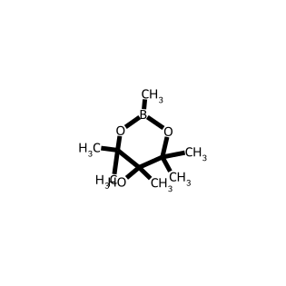 CB1OC(C)(C)C(C)(O)C(C)(C)O1